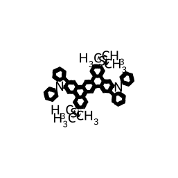 C[Si](C)(C)c1ccc2c(c1)c1cc3c(cc1c1cc4c5ccc([Si](C)(C)C)cc5c5cc6c(cc5c4cc21)c1ccccc1n6-c1ccccc1)c1ccccc1n3-c1ccccc1